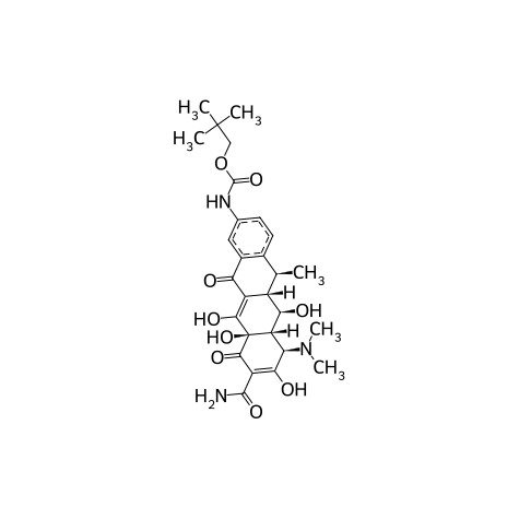 C[C@@H]1c2ccc(NC(=O)OCC(C)(C)C)cc2C(=O)C2=C(O)[C@@]3(O)C(=O)C(C(N)=O)=C(O)[C@H](N(C)C)[C@H]3[C@H](O)[C@H]21